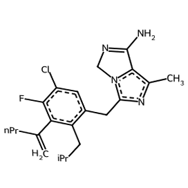 C=C(CCC)c1c(F)c(Cl)cc(Cc2nc(C)c3n2CN=C3N)c1CC(C)C